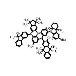 Cc1cc2c3c(c1)N(c1cc4c(cc1C)C(C)(C)c1ccccc1C4(C)C)c1cc(N4c5ccc(C(C)(C)C)cc5C5(C)CCCCC45C)ccc1B3c1cc3c(cc1N2c1ccc2c(c1)-c1ccccc1C2(C)C)C(C)(C)CC3(C)C